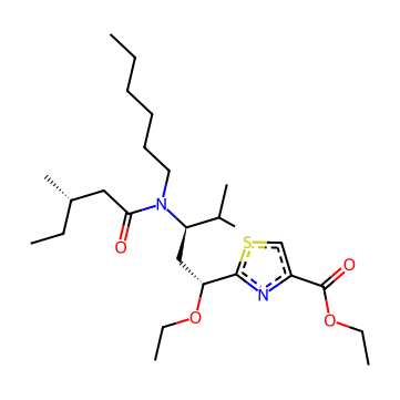 CCCCCCN(C(=O)C[C@@H](C)CC)[C@H](C[C@@H](OCC)c1nc(C(=O)OCC)cs1)C(C)C